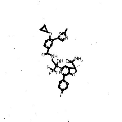 Cc1ncc(-c2cc(C(=O)NCC(O)(c3cc4c(c(-c5ccc(F)cc5)n3)OC[C@]4(C)C(N)=O)C(F)(F)F)ccc2OC2CC2)s1